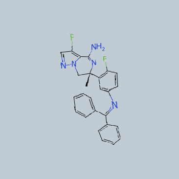 C[C@@]1(c2cc(N=C(c3ccccc3)c3ccccc3)ccc2F)Cn2ncc(F)c2C(N)=N1